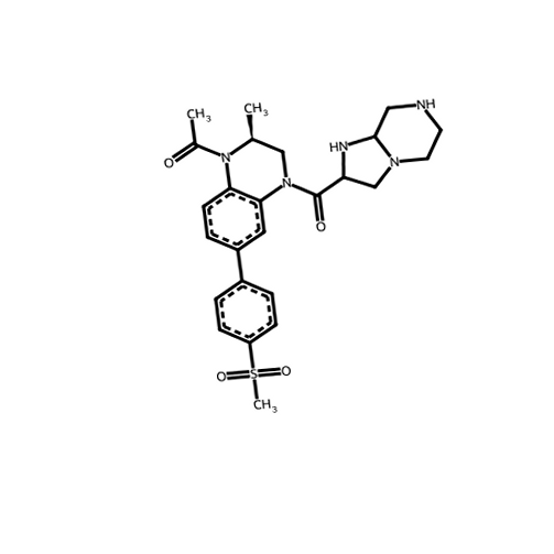 CC(=O)N1c2ccc(-c3ccc(S(C)(=O)=O)cc3)cc2N(C(=O)C2CN3CCNCC3N2)C[C@@H]1C